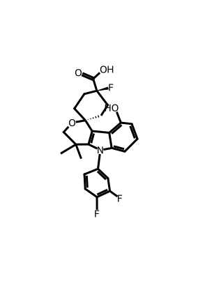 CC1(C)CO[C@]2(CC[C@@](F)(C(=O)O)CC2)c2c1n(-c1ccc(F)c(F)c1)c1cccc(O)c12